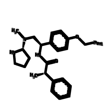 CCCC(C)COc1ccc([C@H](CN(C)[C@@H]2CCCN2)NC(=O)[C@@H](C)c2ccccc2)cc1